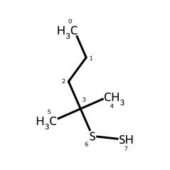 CCCC(C)(C)SS